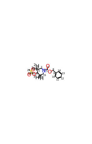 [2H]C1([2H])CN(C(=O)OCc2ccccc2)CC([2H])([2H])C1OS(C)(=O)=O